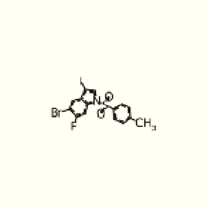 Cc1ccc(S(=O)(=O)n2cc(I)c3cc(Br)c(F)cc32)cc1